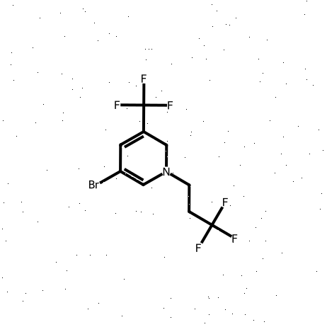 FC(F)(F)CCN1C=C(Br)C=C(C(F)(F)F)C1